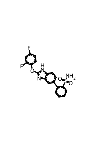 NS(=O)(=O)c1ccccc1-c1ccc2[nH]c(Oc3ccc(F)cc3F)nc2c1